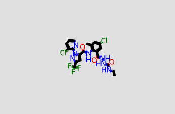 CCNC(=O)NNC(=O)c1cc(Cl)cc(C)c1NC(=O)c1cc(C(F)(F)F)nn1-c1ncccc1Cl